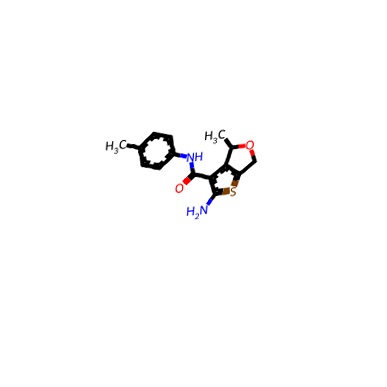 Cc1ccc(NC(=O)c2c(N)sc3c2C(C)OC3)cc1